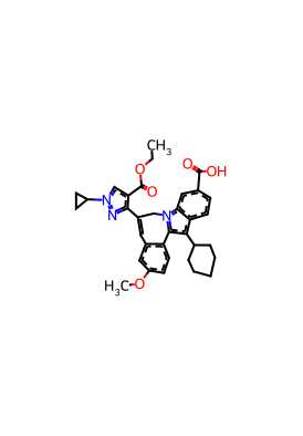 CCOC(=O)c1cn(C2CC2)nc1C1=Cc2cc(OC)ccc2-c2c(C3CCCCC3)c3ccc(C(=O)O)cc3n2C1